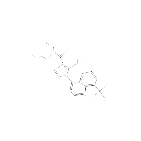 CON(C)C(=O)c1cnn(-c2ccnc3c(C(F)(F)F)cccc23)c1CO